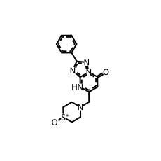 O=c1cc(CN2CC[S+]([O-])CC2)[nH]c2nc(-c3ccccc3)nn12